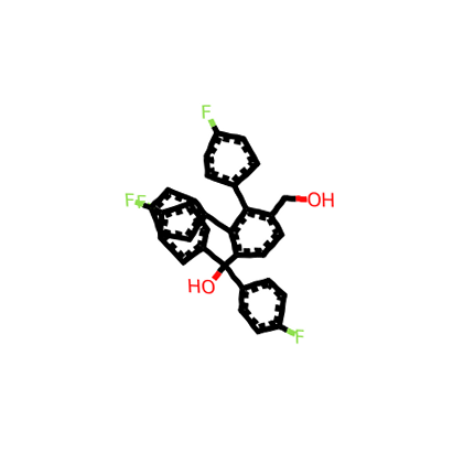 OCc1ccc(C(O)(c2ccc(F)cc2)c2ccc(F)cc2)c(-c2ccc(F)cc2)c1-c1ccc(F)cc1